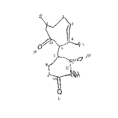 CC1CC=C(F)C(C2CCC(=O)NC2=O)C1=O